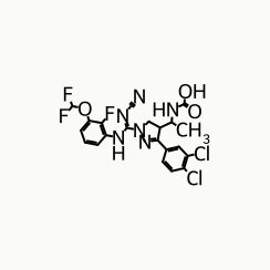 CC(NC(=O)O)C1CN(C(=NC#N)Nc2cccc(OC(F)F)c2F)N=C1c1ccc(Cl)c(Cl)c1